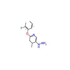 C/C=C\C(OC1=NC=C(NN)C(C)C1)=C(/C)F